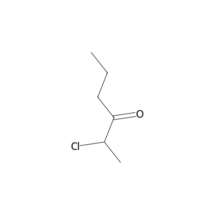 CCCC(=O)C(C)Cl